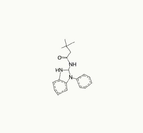 CC(C)(C)CC(=O)NC1Nc2ccccc2N1c1ccccc1